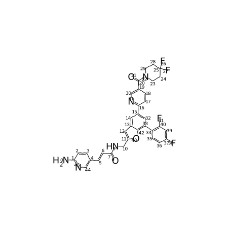 Nc1ccc(C=CC(=O)NCc2cc3cc(-c4ccc(C(=O)N5CCC(F)(F)CC5)cn4)cc(-c4ccc(F)cc4F)c3o2)cn1